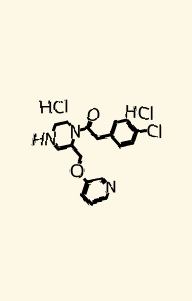 Cl.Cl.O=C(Cc1ccc(Cl)cc1)N1CCNCC1COc1cccnc1